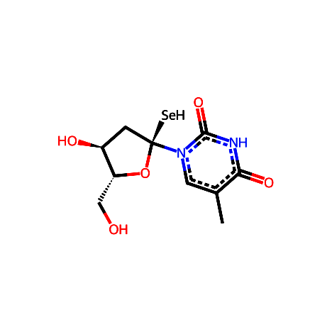 Cc1cn([C@@]2([SeH])C[C@H](O)[C@@H](CO)O2)c(=O)[nH]c1=O